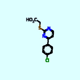 O=C(O)CSc1nccc(-c2ccc(Cl)cc2)n1